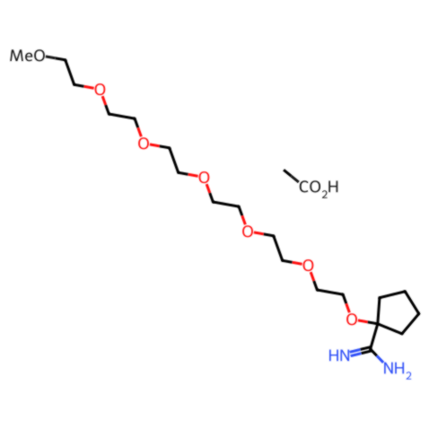 CC(=O)O.COCCOCCOCCOCCOCCOCCOC1(C(=N)N)CCCC1